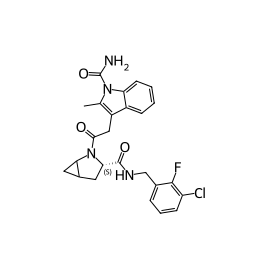 Cc1c(CC(=O)N2C3CC3C[C@H]2C(=O)NCc2cccc(Cl)c2F)c2ccccc2n1C(N)=O